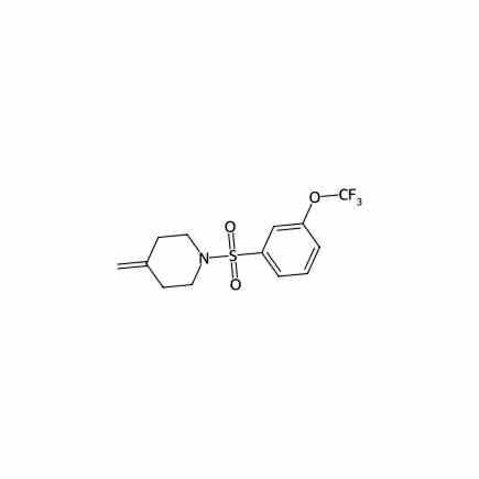 C=C1CCN(S(=O)(=O)c2cccc(OC(F)(F)F)c2)CC1